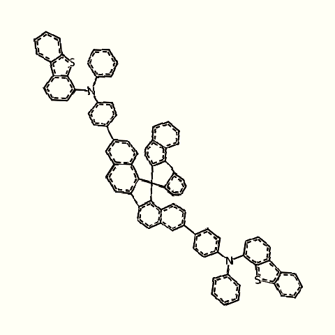 c1ccc(N(c2ccc(-c3ccc4c5c(ccc4c3)-c3ccc4cc(-c6ccc(N(c7ccccc7)c7cccc8c7sc7ccccc78)cc6)ccc4c3C53c4ccccc4-c4c3ccc3ccccc43)cc2)c2cccc3c2sc2ccccc23)cc1